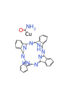 N[C](=O)[Cu].c1ccc2c(c1)-c1nc-2nc2[nH]c(nc3nc(nc4[nH]c(n1)c1ccccc41)-c1ccccc1-3)c1ccccc21